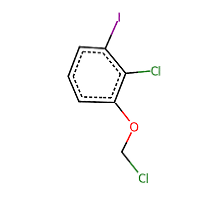 ClCOc1cccc(I)c1Cl